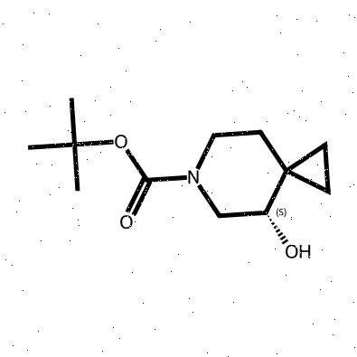 CC(C)(C)OC(=O)N1CCC2(CC2)[C@H](O)C1